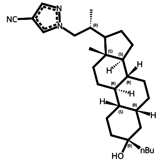 CCCC[C@@]1(O)CC[C@H]2[C@H](CC[C@@H]3[C@@H]2CC[C@]2(C)C([C@@H](C)Cn4cc(C#N)cn4)CC[C@@H]32)C1